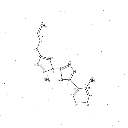 C=CCSc1nc(N)n(-c2nnc(-c3ccccc3O)s2)n1